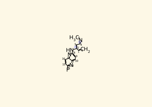 C=C/C(=C\C=N/C)Nc1ccc2nc(F)ccc2n1